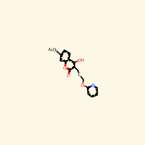 CC(=O)Oc1ccc2c(O)c(CCCOc3ccccn3)c(=O)oc2c1